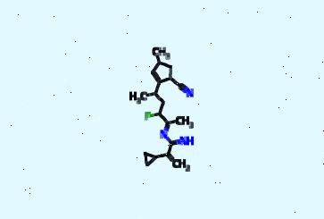 C=C(C(=N)/N=C(\C)C(F)CC(C)C1=CC(C)CC1C#N)C1CC1